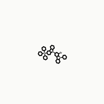 Brc1cc(-n2c3ccccc3c3cc([Si](c4ccccc4)(c4ccccc4)c4ccccc4)ccc32)cc2c3ccccc3n(-c3ccccc3)c12